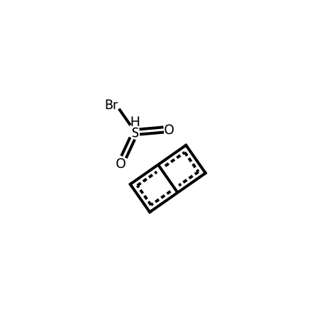 O=[SH](=O)Br.c1cc2ccc1-2